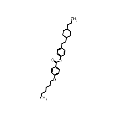 CCCCCCOc1ccc(C(=O)Oc2ccc(CCC3CCC(CCC)CC3)cc2)cc1